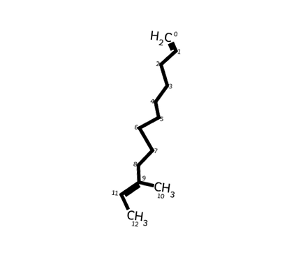 C=CCCCCCCC/C(C)=C/C